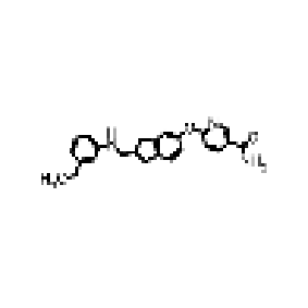 CCc1cccc(NCC2Cc3ccc(Oc4ccc(C(N)=O)cn4)cc3C2)c1